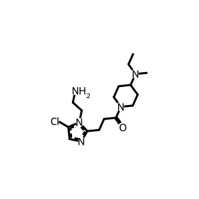 CCN(C)C1CCN(C(=O)CCc2ncc(Cl)n2CCN)CC1